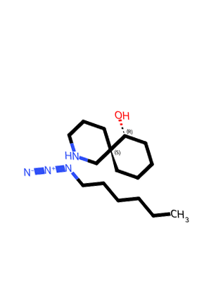 CCCCCCN=[N+]=[N-].O[C@@H]1CCCC[C@@]12CCCNC2